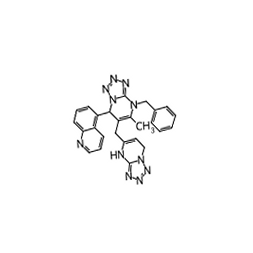 CC1=C(CC2=CCn3nnnc3N2)C(c2cccc3ncccc23)n2nnnc2N1Cc1ccccc1